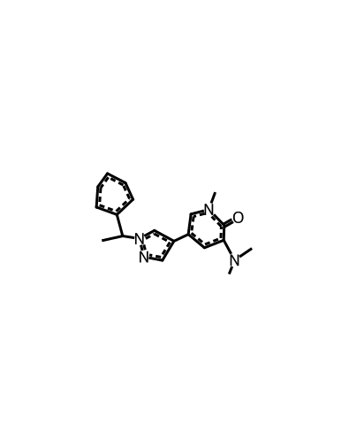 CC(c1ccccc1)n1cc(-c2cc(N(C)C)c(=O)n(C)c2)cn1